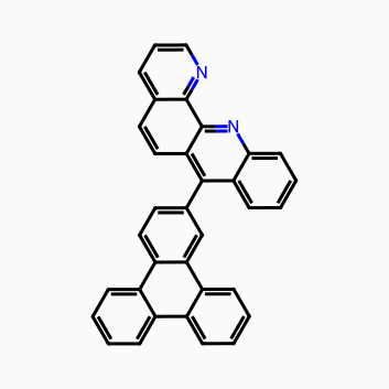 c1cnc2c(c1)ccc1c(-c3ccc4c5ccccc5c5ccccc5c4c3)c3ccccc3nc12